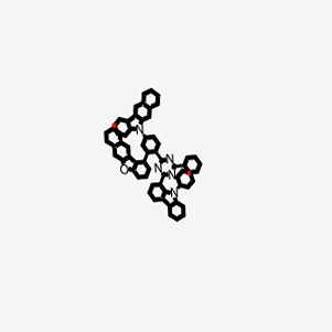 c1ccc(-c2nc(-c3ccc(-n4c5ccccc5c5cc6ccccc6cc54)cc3-c3cccc4oc5cc6ccccc6cc5c34)nc(-c3cccc4c5ccccc5n(-c5ccccc5)c34)n2)cc1